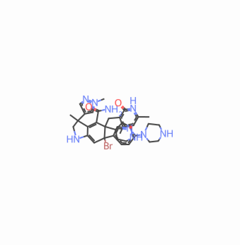 Cc1cc(C)c(CC2(C3CCNCC3)C(C(N)=O)=C3C(=CC2(Br)c2ccc(N4CCNCC4)nc2)NCC3(C)c2cnn(C)c2)c(=O)[nH]1